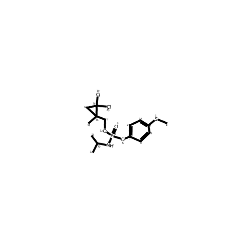 CSc1ccc(OP(=O)(NC(C)C)OCC2(C)CC2(Cl)Cl)cc1